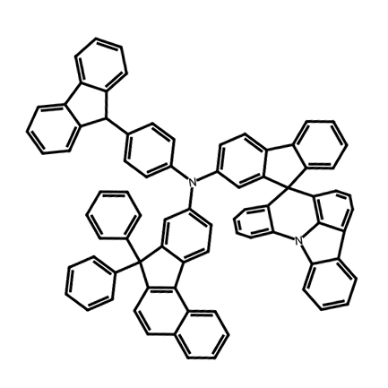 c1ccc(C2(c3ccccc3)c3cc(N(c4ccc(C5c6ccccc6-c6ccccc65)cc4)c4ccc5c(c4)C4(c6ccccc6-5)c5ccccc5-n5c6ccccc6c6cccc4c65)ccc3-c3c2ccc2ccccc32)cc1